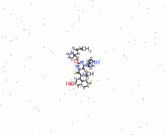 C#Cc1c(F)ccc2cc(O)cc(-c3ncc4c(N5CC6CCCC5CN6)nc(OC[C@]56CCCN5C[C@@H](SC)C6)nc4c3F)c12